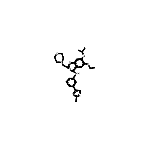 CCOc1cc2c(Nc3cccc(-c4csc(C)n4)c3)nc(CN3CCOCC3)nc2cc1OC(C)C